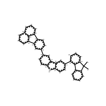 CC1(C)c2ccccc2-c2c(-c3ccc4oc5ccc(-c6ccc7c(c6)-c6cccc8cccc-7c68)cc5c4c3)cccc21